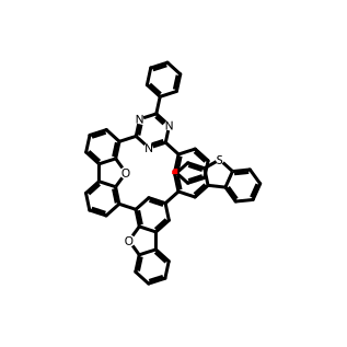 c1ccc(-c2nc(-c3ccccc3)nc(-c3cccc4c3oc3c(-c5cc(-c6ccc7sc8ccccc8c7c6)cc6c5oc5ccccc56)cccc34)n2)cc1